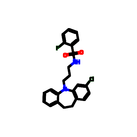 O=S(=O)(NCCCN1c2ccccc2CCc2ccc(Cl)cc21)c1ccccc1F